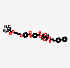 CCC(C)C(=O)OCCCCOc1ccc(C(=O)Oc2ccc(C(=O)O[C@@H]3CO[C@H]4[C@@H]3OC[C@@H]4OC(=O)/C=C/c3ccc(-c4ccccc4)cc3)cc2)cc1